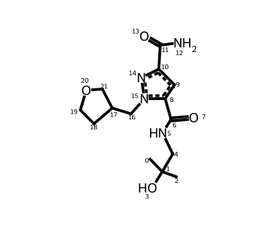 CC(C)(O)CNC(=O)c1[c]c(C(N)=O)nn1CC1CCOC1